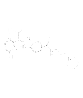 NC(=O)C(=C1Nc2ccc(C(=O)NCCCN3CCOCC3)cc2N1)c1nccc(C(F)(F)F)n1